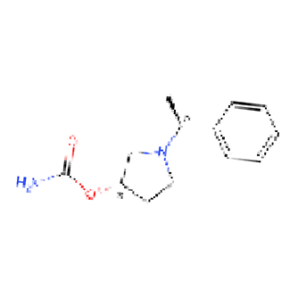 C[C@@H](c1ccccc1)N1CC[C@H](OC(N)=O)C1